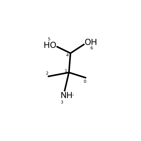 CC(C)([NH])C(O)O